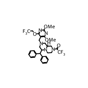 COc1nc(OC)c(CN2CC(C(c3ccccc3)c3ccccc3)N3CCN(C(=O)C(F)(F)F)C[C@H]3C2)c(OCC(F)(F)F)n1